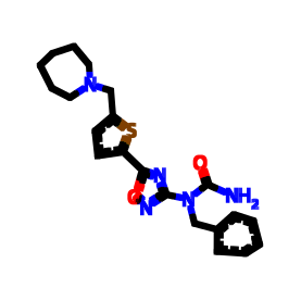 NC(=O)N(Cc1ccccc1)c1noc(-c2ccc(CN3CCCCCC3)s2)n1